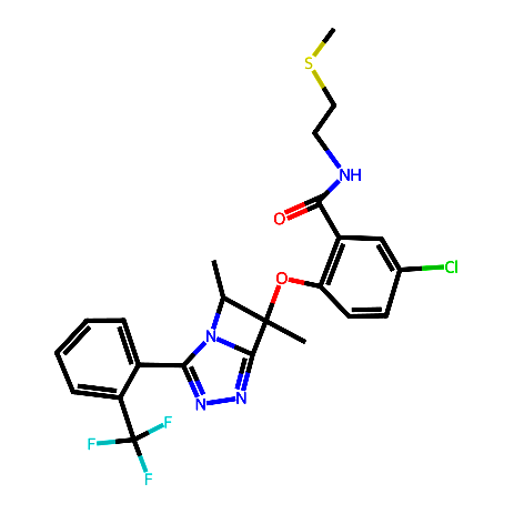 CSCCNC(=O)c1cc(Cl)ccc1OC1(C)c2nnc(-c3ccccc3C(F)(F)F)n2C1C